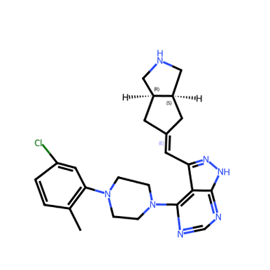 Cc1ccc(Cl)cc1N1CCN(c2ncnc3[nH]nc(/C=C4/C[C@H]5CNC[C@H]5C4)c23)CC1